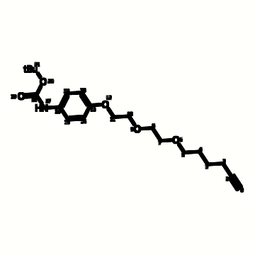 C#CCCCCOCCOCCOc1ccc(NC(=O)OC(C)(C)C)cc1